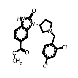 COC(=O)c1ccc2[nH]c(=O)n([C@@H]3CCN(Cc4ccc(Cl)cc4Cl)C3)c2c1